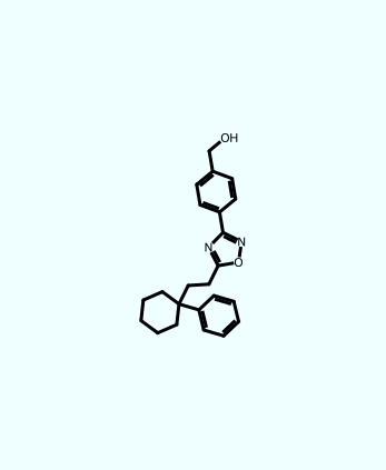 OCc1ccc(-c2noc(CCC3(c4ccccc4)CCCCC3)n2)cc1